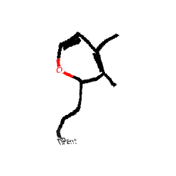 CCCCCCCC1OC=CC(C)=C1C